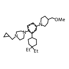 CCC1(CC)CCC(c2cc(N3CCC(COC)CC3)ccc2N2CCN(CC3CC3)CC2)CC1